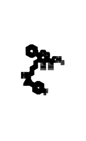 CNC(=O)N[C@@H](CCCCNC1=C(c2ccc(F)cc2)C1)C(=O)N1CCCCC1